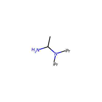 CC(C)N(C(C)C)C(C)N